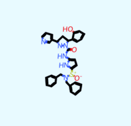 O=C(Nc1ccc([S+]([O-])N(Cc2ccccc2)Cc2ccccc2)[nH]1)N1N=C(c2cccnc2)CC1c1ccccc1O